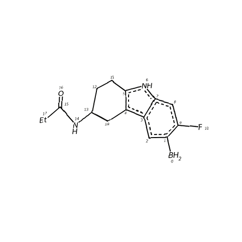 Bc1cc2c3c([nH]c2cc1F)CCC(NC(=O)CC)C3